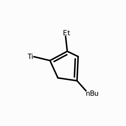 CCCCC1=CC(CC)=[C]([Ti])C1